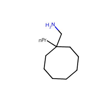 CCCC1(CN)CCCCCCC1